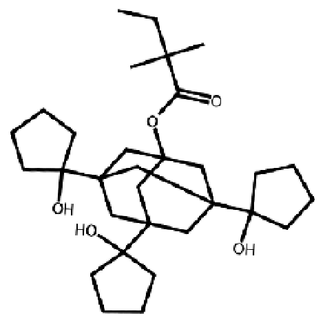 CCC(C)(C)C(=O)OC12CC3(C4(O)CCCC4)CC(C4(O)CCCC4)(C1)CC(C1(O)CCCC1)(C2)C3